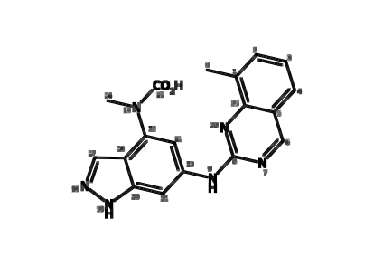 Cc1cccc2cnc(Nc3cc(N(C)C(=O)O)c4cn[nH]c4c3)nc12